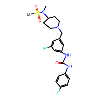 CCS(=O)(=O)N(C)C1CCN(Cc2cc(F)cc(NC(=O)Nc3ccc(F)cc3)c2)CC1